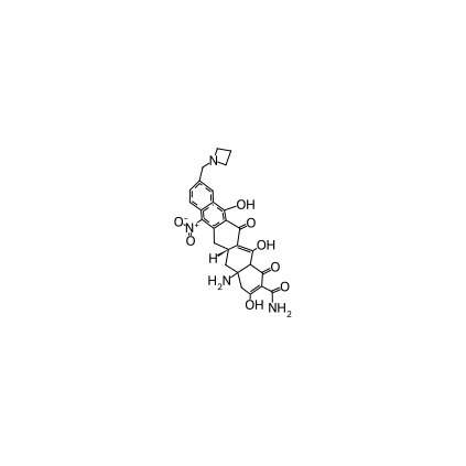 NC(=O)C1=C(O)CC2(N)C[C@@H]3Cc4c(c(O)c5cc(CN6CCC6)ccc5c4[N+](=O)[O-])C(=O)C3=C(O)C2C1=O